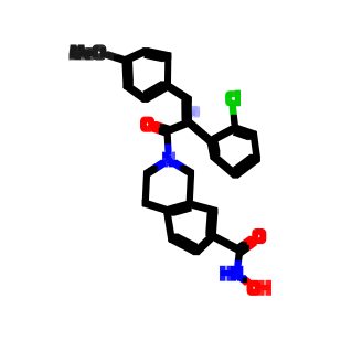 COc1ccc(/C=C(\C(=O)N2CCc3ccc(C(=O)NO)cc3C2)c2ccccc2Cl)cc1